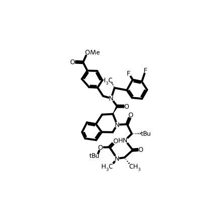 COC(=O)c1ccc(CN(C(=O)[C@@H]2Cc3ccccc3CN2C(=O)[C@@H](NC(=O)[C@H](C)N(C)C(=O)OC(C)(C)C)C(C)(C)C)[C@H](C)c2cccc(F)c2F)cc1